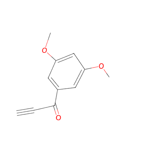 C#CC(=O)c1cc(OC)cc(OC)c1